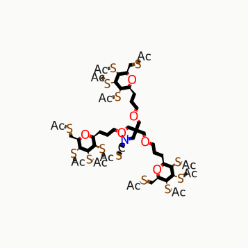 CC(=O)SC[C@H]1O[C@@H](CCCOCC(CN=C=S)(COCCC[C@@H]2O[C@H](CSC(C)=O)[C@@H](SC(C)=O)[C@@H](SC(C)=O)[C@@H]2SC(C)=O)COCCC[C@@H]2O[C@H](CSC(C)=O)[C@@H](SC(C)=O)[C@@H](SC(C)=O)[C@@H]2SC(C)=O)[C@H](SC(C)=O)[C@H](SC(C)=O)[C@@H]1SC(C)=O